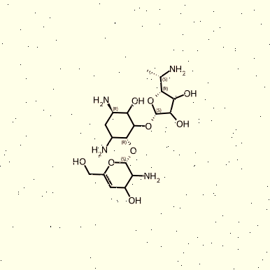 C[C@H](N)[C@H]1O[C@@H](OC2C(O)[C@H](N)CC(N)[C@H]2O[C@H]2OC(CO)=CC(O)C2N)C(O)C1O